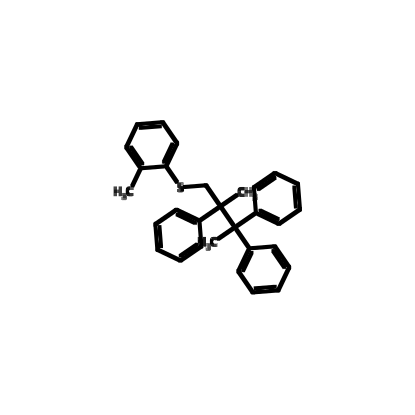 Cc1ccccc1SCC(C)(c1ccccc1)C(C)(c1ccccc1)c1ccccc1